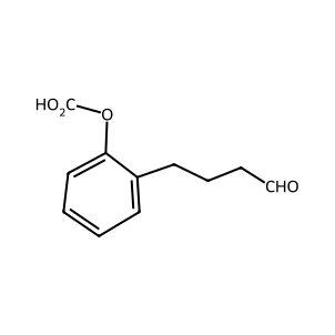 O=CCCCc1ccccc1OC(=O)O